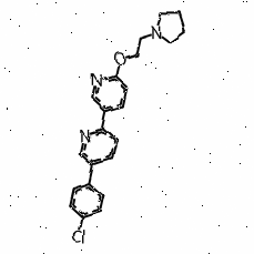 Clc1ccc(-c2ccc(-c3ccc(OCCN4CCCC4)nc3)nc2)cc1